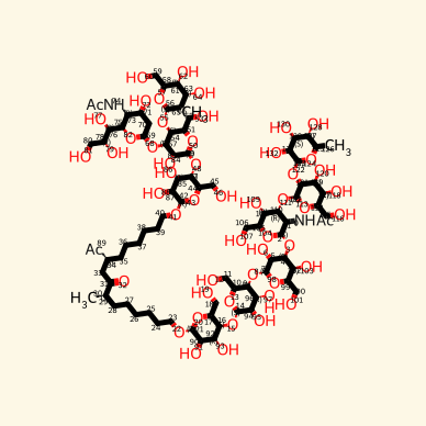 CC(=O)NC1[C@H](O[C@@H]2C(O)[C@@H](O[C@H]3C(CO)O[C@@H](O[C@@H]4C(CO)O[C@@H](OCCCCCC[C@H](C)C(=O)C[C@@H](CCCCCCO[C@@H]5OC(CO)[C@@H](O[C@@H]6OC(CO)[C@H](O[C@@H]7OC(CO)[C@H](O)[C@H](O)C7C)[C@H](OC7CC(O)[C@@H](NC(C)=O)[C@H]([C@H](O)[C@H](O)CO)O7)C6O)[C@H](O)C5O)C(C)=O)C(O)[C@H]4O)C(O)[C@H]3O)OC(CO)[C@@H]2O)OC(CO)[C@H](O)[C@@H]1O[C@@H]1OC(CO)[C@H](O)[C@H](O)C1O[C@@H]1OC(C)[C@@H](O)[C@H](O)C1O